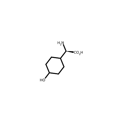 N[C@@H](C(=O)O)C1CCC(O)CC1